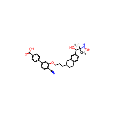 CC(C)(NO)[C@H](O)c1ccc2c(c1)CC(CCCOc1cc(-c3ccc(C(=O)O)cc3)ccc1C#N)CC2